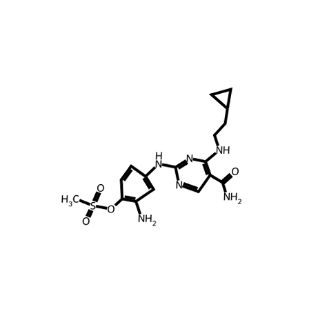 CS(=O)(=O)Oc1ccc(Nc2ncc(C(N)=O)c(NCCC3CC3)n2)cc1N